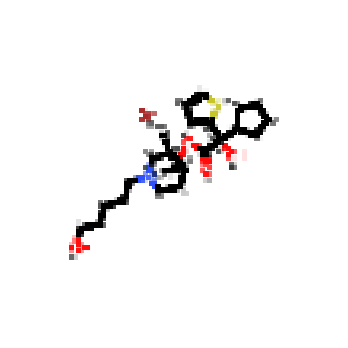 O=C(O[C@H]1C[N+]2(CCCCCO)CCC1CC2)[C@](O)(c1cccs1)C1CCCC1.[Br-]